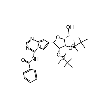 CC(C)(C)[Si](C)(C)O[C@@H]1[C@H](O[Si](C)(C)C(C)(C)C)[C@@H](CO)O[C@H]1c1cc2ncnc(NC(=O)c3ccccc3)n2c1